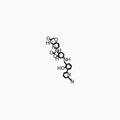 N#Cc1cccc(-c2cccc(CN[C@H]3CC[C@H]4[C@@H](C3)OC(=O)N4c3ccc4c(n3)NC(=O)CO4)c2O)n1